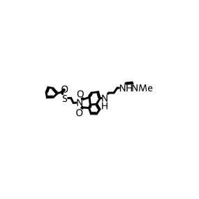 CN/C=C\NCCCNc1ccc2c3c(cccc13)C(=O)N(CCSC(=O)c1ccccc1)C2=O